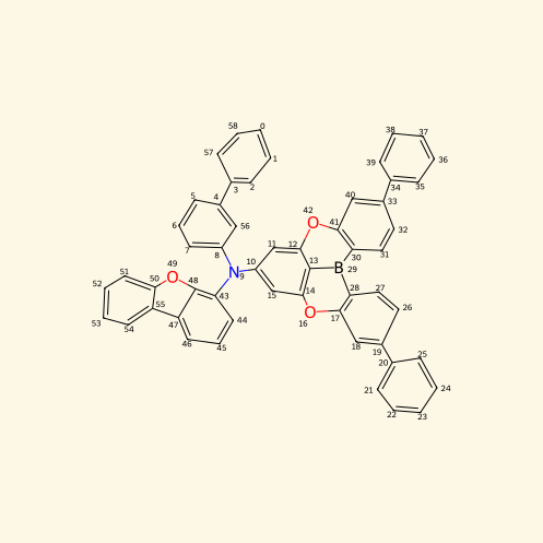 c1ccc(-c2cccc(N(c3cc4c5c(c3)Oc3cc(-c6ccccc6)ccc3B5c3ccc(-c5ccccc5)cc3O4)c3cccc4c3oc3ccccc34)c2)cc1